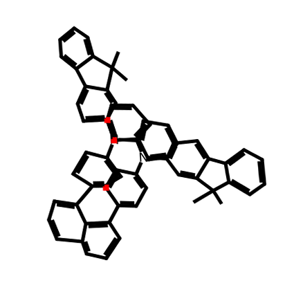 CC1(C)c2ccccc2-c2ccc(N(c3ccccc3)c3ccc(-c4cccc5cccc(-c6ccc(N(c7ccccc7)c7ccc8c(c7)C(C)(C)c7ccccc7-8)cc6)c45)cc3)cc21